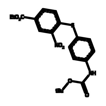 CCOC(=O)c1ccc(Sc2ccc(NC(=O)OC(C)(C)C)cc2)c([N+](=O)[O-])c1